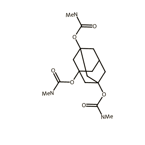 CNC(=O)OC12CC3CC(OC(=O)NC)(C1)CC(OC(=O)NC)(C3)C2